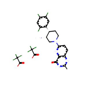 Cc1nc2ccc(N3CC[C@H](c4cc(F)c(F)cc4F)[C@@H](N)C3)nc2c(=O)[nH]1.O=C(O)C(F)(F)F.O=C(O)C(F)(F)F